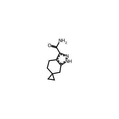 NC(=O)c1n[nH]c2c1CCC1(CC1)C2